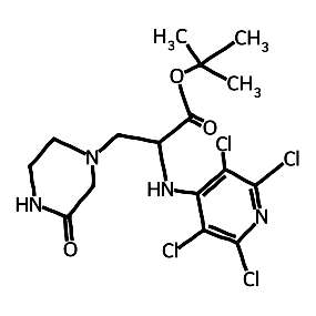 CC(C)(C)OC(=O)C(CN1CCNC(=O)C1)Nc1c(Cl)c(Cl)nc(Cl)c1Cl